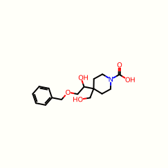 O=C(O)N1CCC(CO)(C(O)COCc2ccccc2)CC1